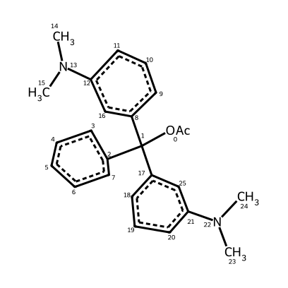 CC(=O)OC(c1ccccc1)(c1cccc(N(C)C)c1)c1cccc(N(C)C)c1